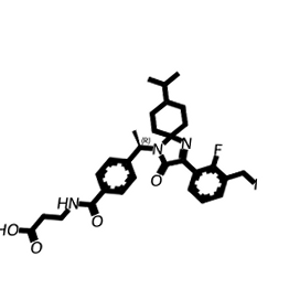 CC(C)C1CCC2(CC1)N=C(c1cccc(CI)c1F)C(=O)N2[C@H](C)c1ccc(C(=O)NCCC(=O)O)cc1